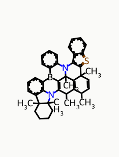 CC1C=CC2(C)C3=C1C(C)C1=C4B(c5ccccc5N(c5c2sc2ccccc52)C43C)c2cccc3c2N1C1(C)CCCCC31C